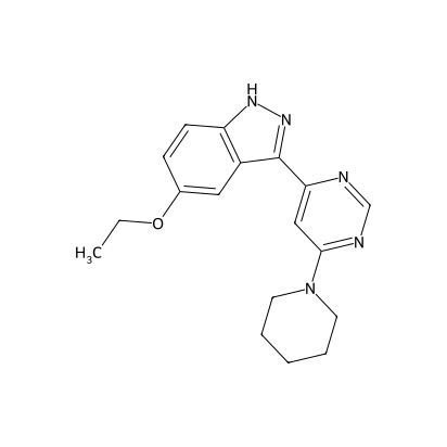 CCOc1ccc2[nH]nc(-c3cc(N4CCCCC4)ncn3)c2c1